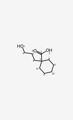 O=C(O)C1(CCCO)CC[CH]CC1